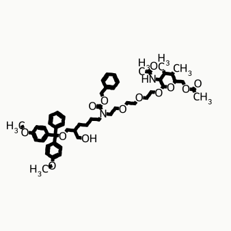 COc1ccc(C(OCC(CO)CCCCN(CCOCCOCCOC2OC(COC(C)=O)C(C)C(C)C2NC(C)=O)C(=O)OCc2ccccc2)(c2ccccc2)c2ccc(OC)cc2)cc1